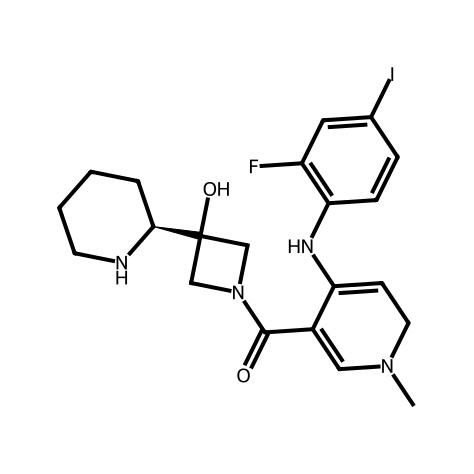 CN1C=C(C(=O)N2CC(O)([C@@H]3CCCCN3)C2)C(Nc2ccc(I)cc2F)=CC1